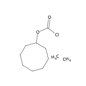 C.C.O=C(Cl)O[C]1CCCCCCC1